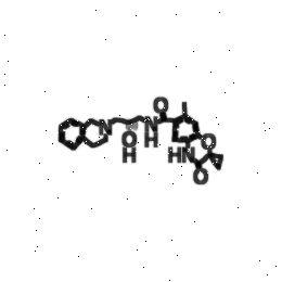 Cc1cc2c(cc1C(=O)NC[C@H](O)CN1CCc3ccccc3C1)NC(=O)C1(CC1)O2